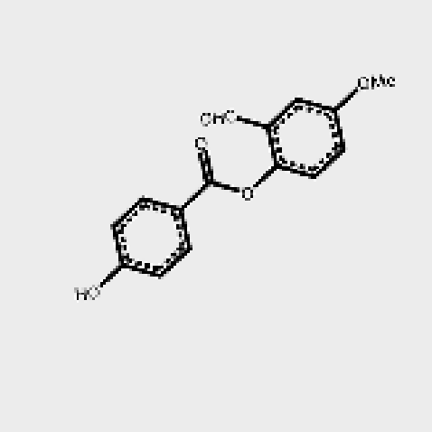 COc1ccc(OC(=O)c2ccc(O)cc2)c(C=O)c1